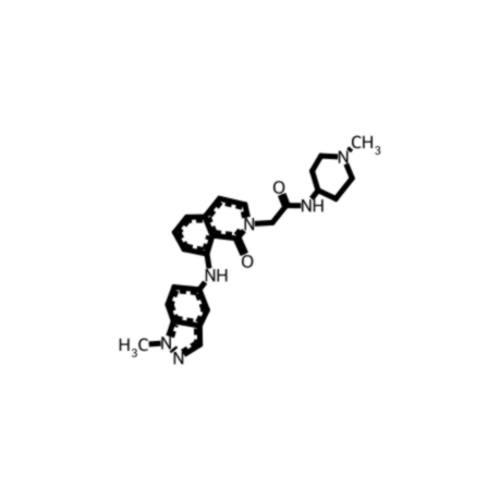 CN1CCC(NC(=O)Cn2ccc3cccc(Nc4ccc5c(cnn5C)c4)c3c2=O)CC1